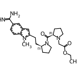 CCOC(=O)CN1CCC[C@@H]1C(=O)N1CCC[C@H]1CCc1cc2cc(C(=N)N)ccc2n1C